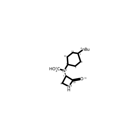 CCCCC1CCC(N(C(=O)O)[C@H]2CNC2=O)CC1